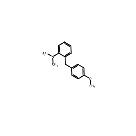 COc1ccc(Cc2cc[c]cc2N(C)C)cc1